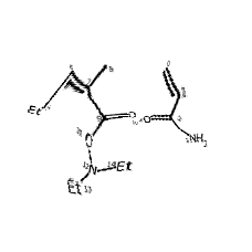 C=CC(N)=O.CCC=C(C)C(=O)ON(CC)CC